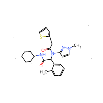 Cc1ccccc1C(C(=O)NC1CCCCC1)N(C(=O)Cc1cccs1)c1ccn(C)n1